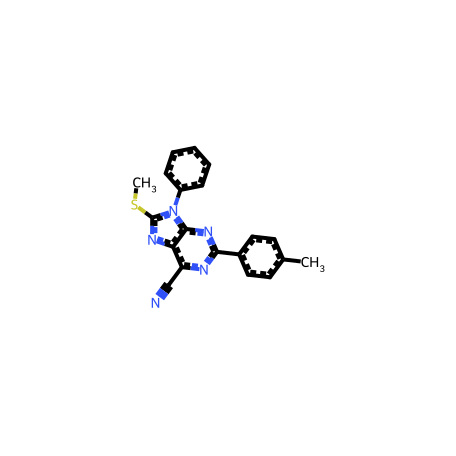 CSc1nc2c(C#N)nc(-c3ccc(C)cc3)nc2n1-c1ccccc1